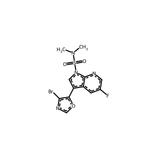 CN(C)S(=O)(=O)n1cc(-c2ocnc2Br)c2cc(F)cnc21